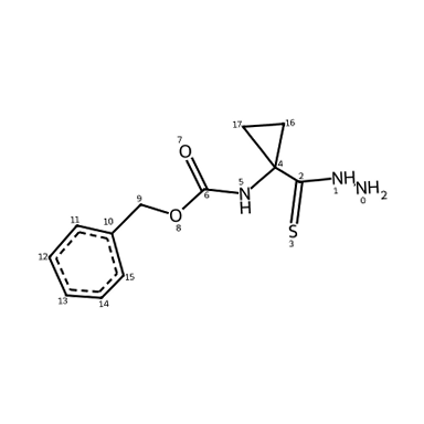 NNC(=S)C1(NC(=O)OCc2ccccc2)CC1